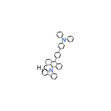 CC1CC=Cc2c1c(-n1c3ccccc3c3ccccc31)c1ccccc1c2-c1ccc(-c2ccc(N(c3ccccc3)c3ccccc3)cc2)cc1